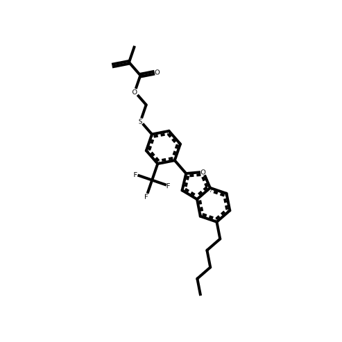 C=C(C)C(=O)OCSc1ccc(-c2cc3cc(CCCCC)ccc3o2)c(C(F)(F)F)c1